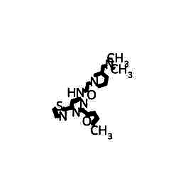 Cc1ccc(-c2nc(NC(=O)CN3CCCC(CN(C)C)C3)cc(-c3nccs3)n2)o1